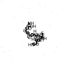 Cn1c(-c2c(C(F)(F)F)n[nH]c2-c2cc3[nH]cc(C(=O)N4CCNCC4)c3cn2)cnc1C(=O)Nc1ccc(C(=O)N2CCN(C(=O)C3CC[N+](CC(=O)O)(CC4CNC4)CC3)CC2)c(Cl)c1